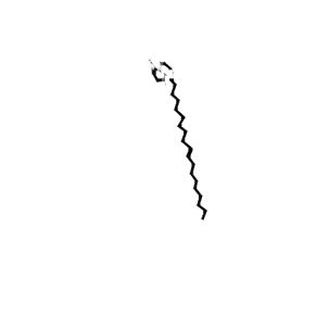 CCCCCCCC/C=C/CCCCCCCCN1CCN(C)CC1